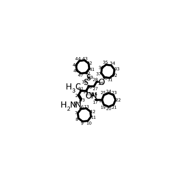 CC(/C=C/N(N)C1CCCCCCC1)C(O/N=C/C1CCCCCCC1)C(CCOC1CCCCCCC1)SSC1CCCCCCC1